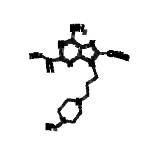 CCCCNc1nc(N)c2nc(OC)n(CCCN3CCN(C(C)C)CC3)c2n1